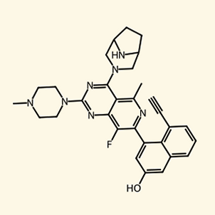 C#Cc1cccc2cc(O)cc(-c3nc(C)c4c(N5CC6CCC(C5)N6)nc(N5CCN(C)CC5)nc4c3F)c12